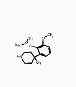 CC(C)(C)OC=O.OC1(c2cccc(OC(F)(F)F)c2F)CCNCC1